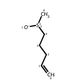 [CH]=CCCC[S+](C)[O-]